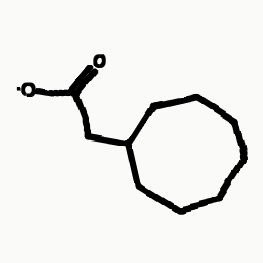 [O]C(=O)CC1CCCCCCC1